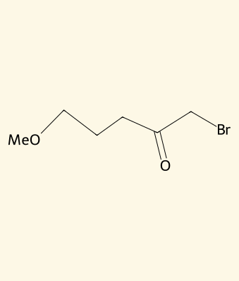 COCCCC(=O)CBr